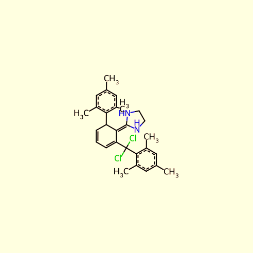 Cc1cc(C)c(C2C=CC=C(C(Cl)(Cl)c3c(C)cc(C)cc3C)C2=C2NCCN2)c(C)c1